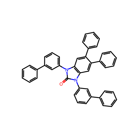 O=c1n(-c2cccc(-c3ccccc3)c2)c2cc(-c3ccccc3)c(-c3ccccc3)cc2n1-c1cccc(-c2ccccc2)c1